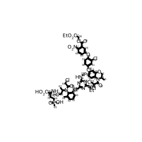 CC1COc2ccccc2N1C(=O)C(Cl)Cl.CCNc1nc(Cl)nc(NC(C)C)n1.CCOC(=O)COC(=O)c1cc(Oc2ccc(C(F)(F)F)cc2Cl)ccc1[N+](=O)[O-].CCc1cccc(C)c1N(C(=O)CCl)C(C)COC.CP(=O)(O)CCC(N)C(=O)O